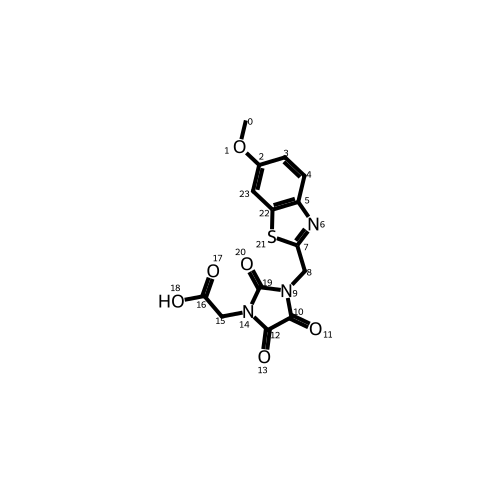 COc1ccc2nc(CN3C(=O)C(=O)N(CC(=O)O)C3=O)sc2c1